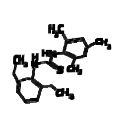 CCc1cccc(CC)c1NC(=S)Nc1c(C)cc(C)cc1C